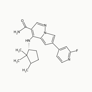 CC1CC[C@@H](Nc2c(C(N)=O)cnn3cc(-c4ccnc(F)c4)cc23)C1(C)C